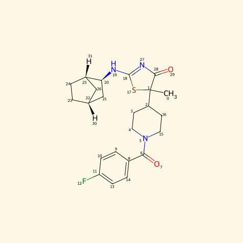 CC1(C2CCN(C(=O)c3ccc(F)cc3)CC2)SC(N[C@H]2C[C@@H]3CC[C@H]2C3)=NC1=O